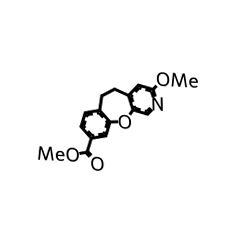 COC(=O)c1ccc2c(c1)Oc1cnc(OC)cc1CC2